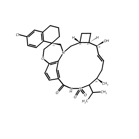 CC(C)C1[C@H](C)C/C=C/[C@H](O)[C@@H]2CC[C@H]2CN2C[C@@]3(CCCc4cc(Cl)ccc43)COc3ccc(cc32)C(=O)NS1(=O)=O